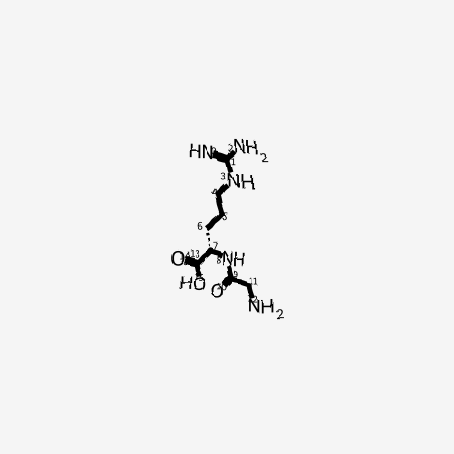 N=C(N)NCCC[C@H](NC(=O)CN)C(=O)O